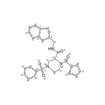 O=C(NCc1ccc2ccccc2c1)C1CN(S(=O)(=O)c2ccccc2)CCN1C(=O)c1ccco1